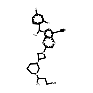 CC(CCO)N1CCC[C@@H](C2CN(c3cnc4c(C#N)nn(C(C)c5ccc(Cl)cc5Cl)c4n3)C2)C1